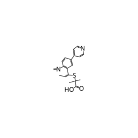 C=Nc1ccc(-c2ccncc2)cc1/C(=C\C)SC(C)(C)C(=O)O